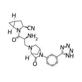 N#C[C@@H]1C[C@@H]2C[C@@H]2N1C(=O)[C@@H](N)CN1CC2C[C@H]1C(=O)N2c1cccc(-c2nnn[nH]2)c1